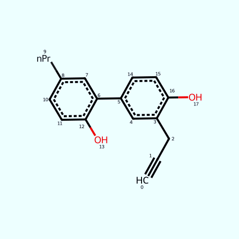 C#CCc1cc(-c2cc(CCC)ccc2O)ccc1O